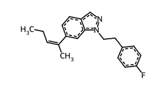 CC/C=C(/C)c1ccc2cnn(CCc3ccc(F)cc3)c2c1